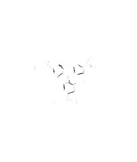 CCOC(=O)c1cc(N(C)C)ccc1C(c1ccc(N(C)C)cc1C)c1ccc(N(C)C)cc1C